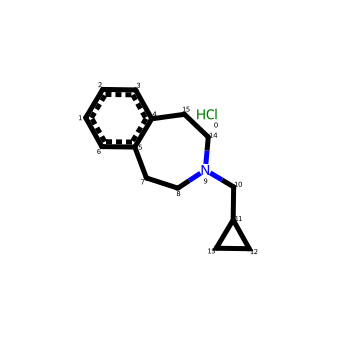 Cl.c1ccc2c(c1)CCN(CC1CC1)CC2